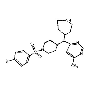 Cc1cc(C(C2CCNCC2)N2CCN(S(=O)(=O)c3ccc(Br)cc3)CC2)ncn1